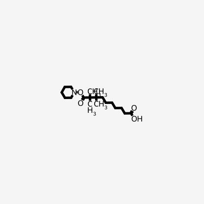 CC(C)(CCCCCCC(=O)O)C(C)(C)C(=O)ON1CCCCC1